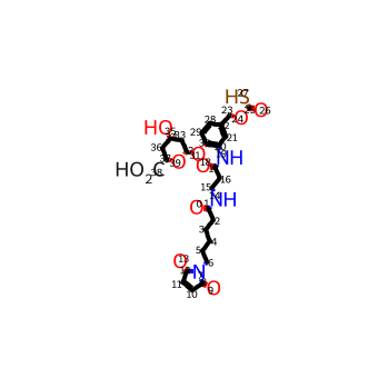 O=C(CCCCCN1C(=O)C=CC1=O)NCCC(=O)Nc1cc(COC(=O)S)ccc1OC1CC(O)CC(C(=O)O)O1